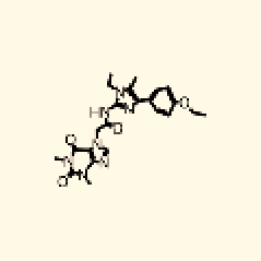 CCOc1ccc(-c2nc(NC(=O)Cn3cnc4c3c(=O)n(C)c(=O)n4C)n(CC)c2C)cc1